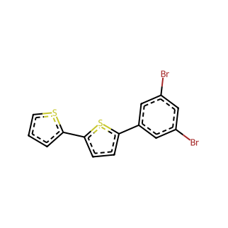 Brc1cc(Br)cc(-c2ccc(-c3cccs3)s2)c1